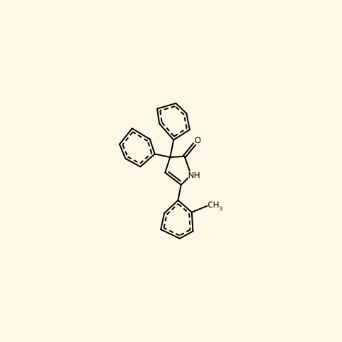 Cc1ccccc1C1=CC(c2ccccc2)(c2ccccc2)C(=O)N1